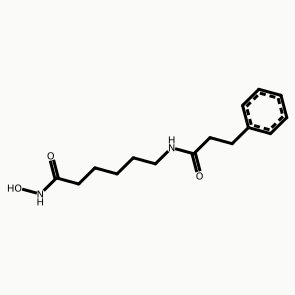 O=C(CCCCCNC(=O)CCc1ccccc1)NO